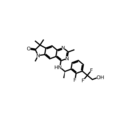 Cc1nc(N[C@H](C)c2cccc(C(F)(F)CO)c2F)c2cc3c(cc2n1)C(C)(C)C(=O)N3C